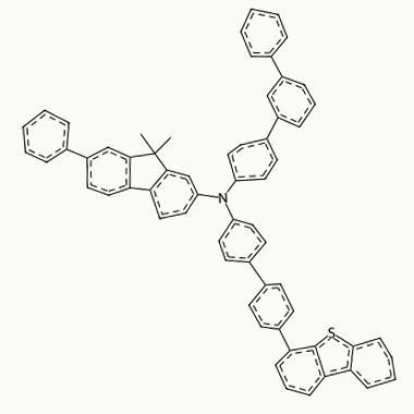 CC1(C)c2cc(-c3ccccc3)ccc2-c2ccc(N(c3ccc(-c4ccc(-c5cccc6c5sc5ccccc56)cc4)cc3)c3ccc(-c4cccc(-c5ccccc5)c4)cc3)cc21